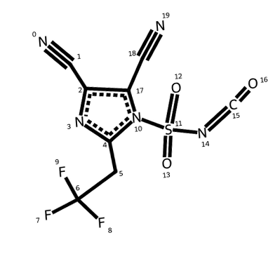 N#Cc1nc(CC(F)(F)F)n(S(=O)(=O)N=C=O)c1C#N